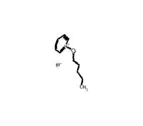 CCCCCO[n+]1ccccc1.[Br-]